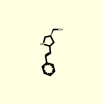 OC[C@@H]1CNC(C=Cc2ccccc2)C1